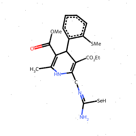 CCOC(=O)C1=C(CN=C(N)[SeH])NC(C)=C(C(=O)OC)C1c1ccccc1SC